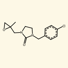 CC1(CN2CCN(Cc3ccc(Cl)cc3)C2=O)CO1